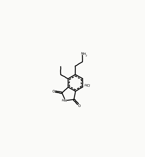 CCc1c(CCN)ccc2c1C(=O)NC2=O.Cl